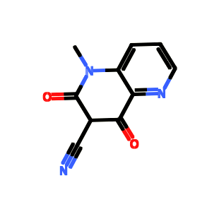 CN1C(=O)C(C#N)C(=O)c2ncccc21